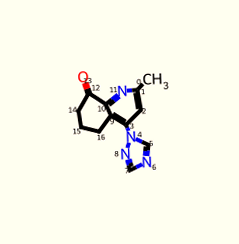 Cc1cc(-n2cncn2)c2c(n1)C(=O)CCC2